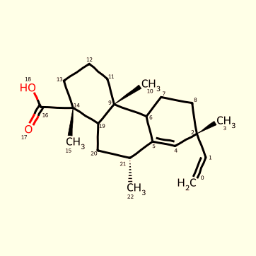 C=C[C@]1(C)C=C2C(CC1)[C@@]1(C)CCC[C@@](C)(C(=O)O)C1C[C@H]2C